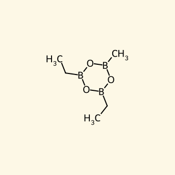 CCB1OB(C)OB(CC)O1